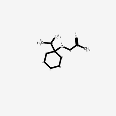 CC(=O)COC1(C(C)C)CCCCC1